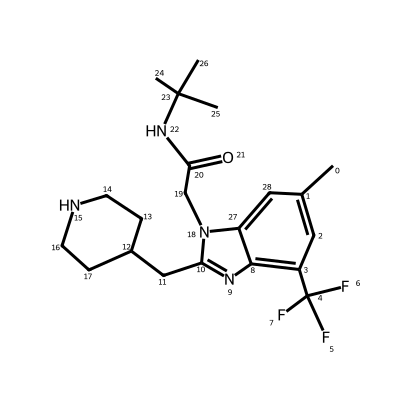 Cc1cc(C(F)(F)F)c2nc(CC3CCNCC3)n(CC(=O)NC(C)(C)C)c2c1